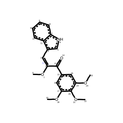 CO/C(=C/c1c[nH]c2ccccc12)C(=O)c1cc(OC)c(OC)c(OC)c1